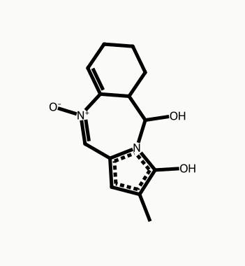 Cc1cc2n(c1O)C(O)C1CCCC=C1[N+]([O-])=C2